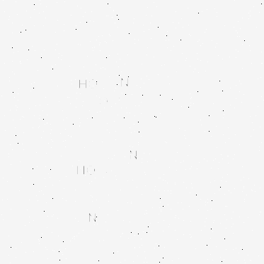 O=C1c2cc(CN3CCC(O)(c4ccncc4)CC3)c3ccccc3c2CN1C1CCCCC1O